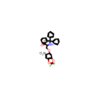 COC(=O)C(COc1cc2c(cc1[N+](=O)[O-])OC(F)(F)O2)NC(c1ccccc1)(c1ccccc1)c1ccccc1